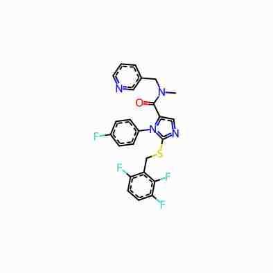 CN(Cc1cccnc1)C(=O)c1cnc(SCc2c(F)ccc(F)c2F)n1-c1ccc(F)cc1